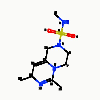 CNS(=O)(=O)N1CCN2C(=CC(C)N=C2C)C1